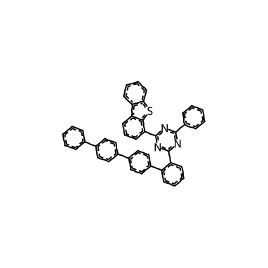 c1ccc(-c2ccc(-c3ccc(-c4ccccc4-c4nc(-c5ccccc5)nc(-c5cccc6c5sc5ccccc56)n4)cc3)cc2)cc1